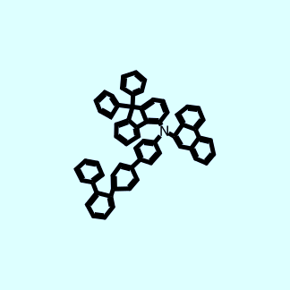 c1ccc(-c2ccccc2-c2ccc(-c3ccc(N(c4cccc5c4-c4ccccc4C5(c4ccccc4)c4ccccc4)c4cc5ccccc5c5ccccc45)cc3)cc2)cc1